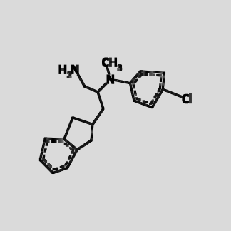 CN(c1ccc(Cl)cc1)C(CN)CC1Cc2ccccc2C1